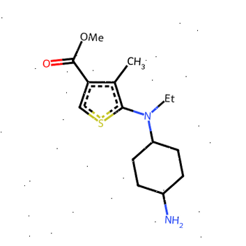 CCN(c1scc(C(=O)OC)c1C)C1CCC(N)CC1